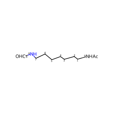 CC(=O)NCCCCCCCNC=O